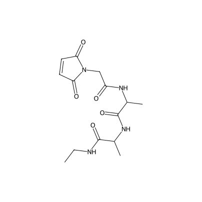 CCNC(=O)C(C)NC(=O)C(C)NC(=O)CN1C(=O)C=CC1=O